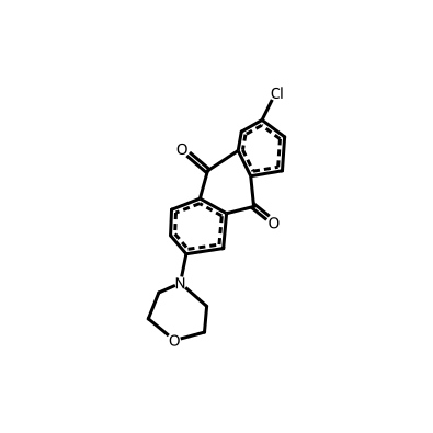 O=C1c2ccc(N3CCOCC3)cc2C(=O)c2ccc(Cl)cc21